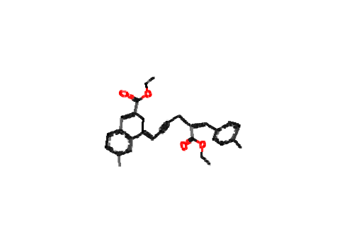 CCOC(=O)C(=Cc1ccc(C)cc1)CC#CC=C1CC(C(=O)OCC)=Cc2ccc(C)cc21